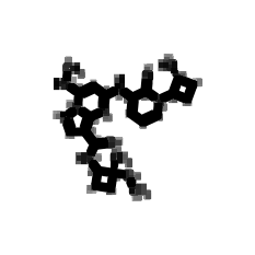 CNc1cc(Nc2cccn(C3CC[C@H]3O)c2=O)nc2c(C(=O)NC3CC[C@@]3(C)OC)cnn12